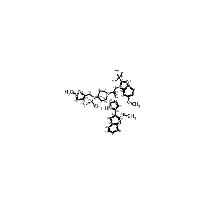 COc1ccc2nc(C(F)(F)F)n(CC(=O)N3CC[C@H](N(Cc4ccn(C)n4)C(C)C)C[C@H]3c3ncc(-c4cc5ccccc5nc4OC)[nH]3)c2c1